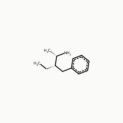 CC[C@@H](Cc1ccccc1)[C@H](C)N